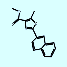 COC(=O)c1nc(-c2ccc3ccccc3c2)oc1C